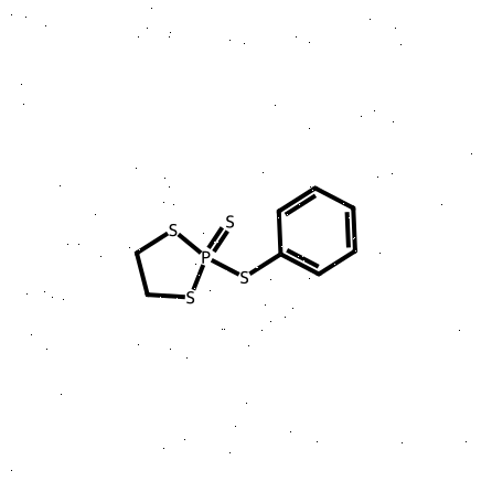 S=P1(Sc2ccccc2)SCCS1